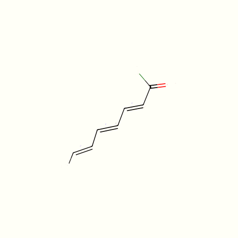 CC(C)/C=C/C=C/C=C/C(=O)Cl